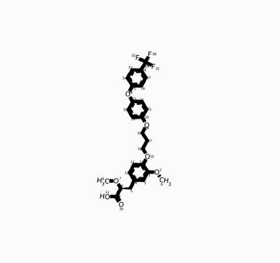 COc1cc(C[C@H](OC)C(=O)O)ccc1OCCCOc1ccc(Oc2ccc(C(F)(F)F)cc2)cc1